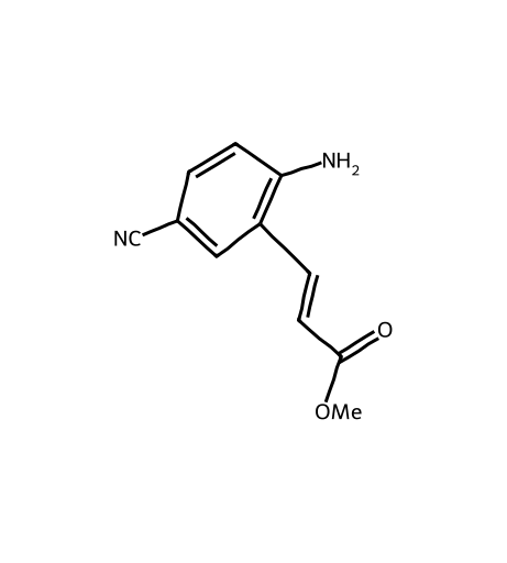 COC(=O)C=Cc1cc(C#N)ccc1N